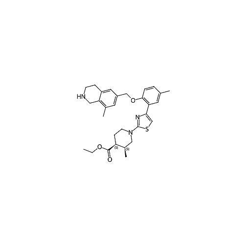 CCOC(=O)[C@H]1CCN(c2nc(-c3cc(C)ccc3OCc3cc(C)c4c(c3)CCNC4)cs2)C[C@H]1C